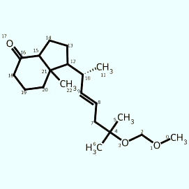 COCOC(C)(C)C/C=C/[C@@H](C)C1CCC2C(=O)CCCC21C